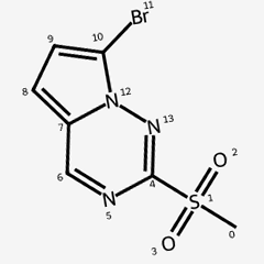 CS(=O)(=O)c1ncc2ccc(Br)n2n1